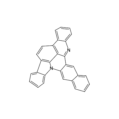 c1ccc2cc3c(cc2c1)c1nc2ccccc2c2ccc4c5ccccc5n3c4c21